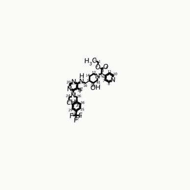 CCOC(=O)[C@@H](c1ccncc1)N1CC[C@H](CNc2ncnc(N(CC)Cc3ccc(C(F)(F)F)cc3)c2F)[C@@H](O)C1